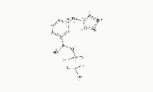 CC(C)(O)C(C)(C)OB(O)c1cccc(Nc2nncs2)c1